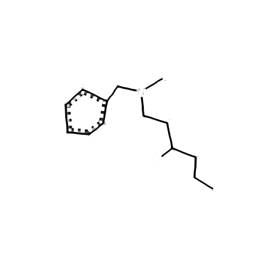 CCCC(O)CCN(C)Cc1ccccc1